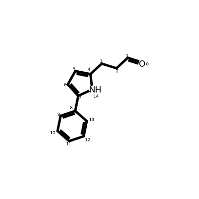 O=CCCc1ccc(-c2ccccc2)[nH]1